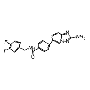 Nc1nc2ccc(-c3ccc(C(=O)NCc4ccc(F)c(F)c4)cc3)cn2n1